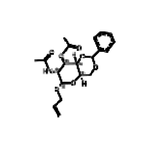 C=CCO[C@H]1O[C@@H]2COC(c3ccccc3)O[C@H]2[C@H](OC(C)=O)[C@H]1NC(C)=O